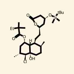 CCC(C)(C)C(=O)O[C@H]1C[C@@H](C)[C@H](Cl)[C@]2(O)CC[C@H](C)[C@H](CC[C@@H]3C[C@@H](O[Si](C)(C)C(C)(C)C)CC(=O)O3)[C@@H]12